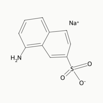 Nc1cccc2ccc(S(=O)(=O)[O-])cc12.[Na+]